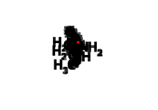 CN1CCC(NC(=O)c2sc3c(N)ccc4c3c2C(N)C(=O)C4(N)c2cccc(-c3ccccc3)c2)C1